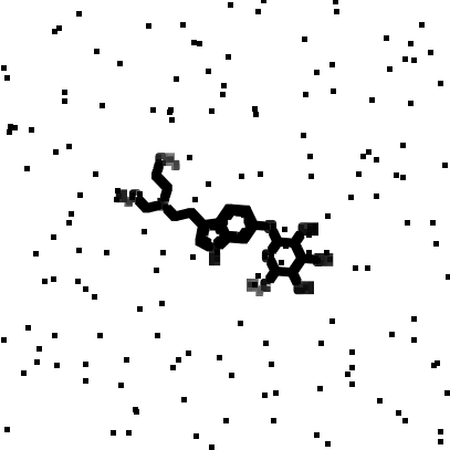 CCCN(CC)CCc1c[nH]c2cc(OC3OC(C)C(O)C(O)C3O)ccc12